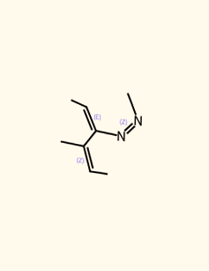 C\C=C(C)/C(=C\C)/N=N\C